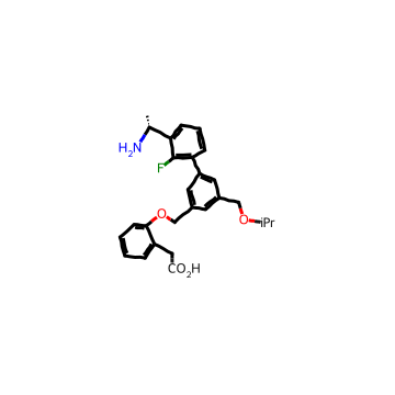 CC(C)OCc1cc(COc2ccccc2CC(=O)O)cc(-c2cccc([C@@H](C)N)c2F)c1